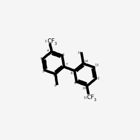 Cc1[c]cc(C(F)(F)F)cc1-c1cc(C(F)(F)F)ccc1C